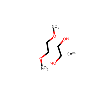 O=[N+]([O-])OCCO[N+](=O)[O-].OCCO.[Co+2]